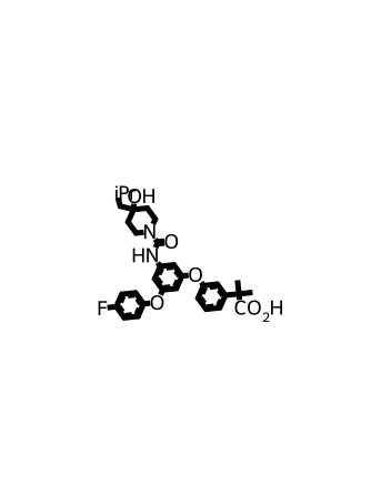 CC(C)CC1(O)CCN(C(=O)Nc2cc(Oc3ccc(F)cc3)cc(Oc3cccc(C(C)(C)C(=O)O)c3)c2)CC1